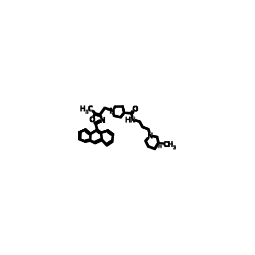 Cc1oc(-c2c3ccccc3cc3ccccc23)nc1CN1CCC(C(=O)NCCCN2CCC[C@H](C)C2)CC1